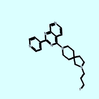 FCCCN1CCC2(CCN(c3nc(-c4ccncc4)nc4cnccc34)CC2)C1